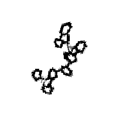 c1ccc(-n2c3ccccc3c3cc(-c4cccc(-c5ccc6c(c5)c5ccccc5n6-c5cc6ccccc6c6ccccc56)c4)ccc32)cc1